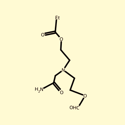 CCC(=O)OCCN(CCOC=O)CC(N)=O